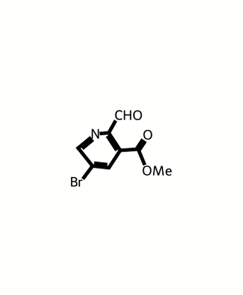 COC(=O)c1cc(Br)cnc1C=O